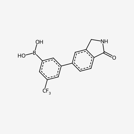 O=C1NCc2cc(-c3cc(B(O)O)cc(C(F)(F)F)c3)ccc21